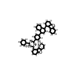 C1=Cc2oc3cccc(C4N=C(c5ccc(-c6ccc(-c7cccc8oc9ccccc9c78)c7ccccc67)cc5)N=C(c5ccccc5)N4)c3c2NC1